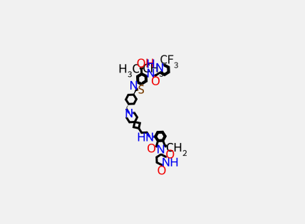 C=C1c2cccc(NCCC3CC4(CCN(C[C@H]5CC[C@H](c6nc7cc(C(C)(C)O)c(NC(=O)c8cccc(C(F)(F)F)n8)cc7s6)CC5)CC4)C3)c2C(=O)N1C1CCC(=O)NC1=O